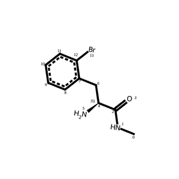 CNC(=O)[C@@H](N)Cc1ccccc1Br